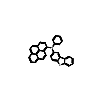 c1ccc(N(c2ccc3oc4ccccc4c3c2)c2ccc3ccc4cccc5ccc2c3c45)cc1